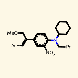 COCC(=CC(C)=O)c1ccc(N(CC(C)C)C2CCCCC2)c([N+](=O)[O-])c1